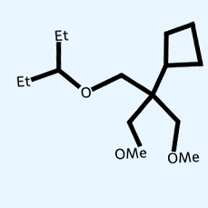 CCC(CC)OCC(COC)(COC)C1CCC1